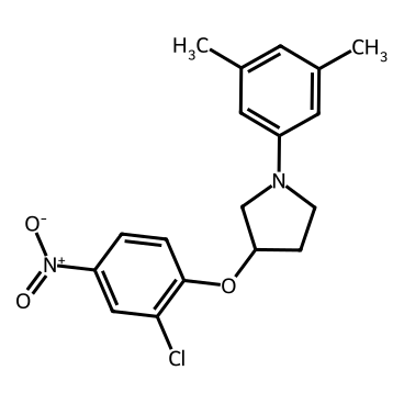 Cc1cc(C)cc(N2CCC(Oc3ccc([N+](=O)[O-])cc3Cl)C2)c1